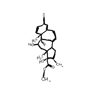 COC(=O)[C@@]1(O)[C@H](C)CC2C3CCC4=CC(=O)C=CC4(C)[C@@]3(F)C(O)CC21C